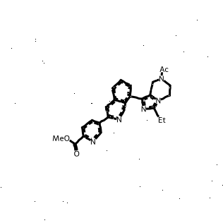 CCc1nc(-c2cccc3cc(-c4ccc(C(=O)OC)nc4)ncc23)c2n1CCN(C(C)=O)C2